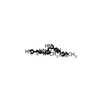 Cc1cn2nc(-n3cc4sc(C5CCNCC5)cc4n3)nc2c(CC2CC(c3cc4nn(-c5cn6cc(C)nc6cn5)cc4s3)CCN2)n1